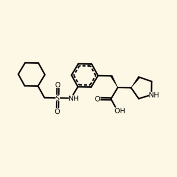 O=C(O)[C@@H](Cc1cccc(NS(=O)(=O)CC2CCCCC2)c1)[C@H]1CCNC1